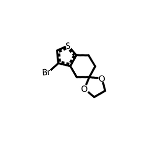 Brc1csc2c1CC1(CC2)OCCO1